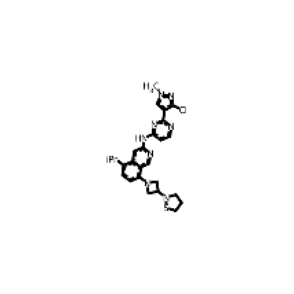 CC(C)c1ccc(N2CC(N3CCCS3)C2)c2cnc(Nc3ccnc(-c4cn(C)nc4Cl)n3)cc12